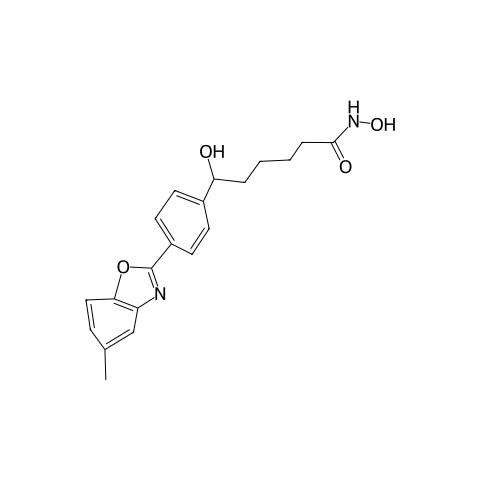 Cc1ccc2oc(-c3ccc(C(O)CCCCC(=O)NO)cc3)nc2c1